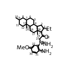 CC[C@@H]1CC2C3CCC4CC(C)CCC4(C)C3CCC2(C)C1C(=O)CN(N)c1cc(OC)ccc1N